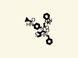 O=C(Nc1ccc(N(C(=O)Cn2nnc3ccccc32)C(C(=O)NCc2ccccc2)c2ccsc2)cc1)C1CC1